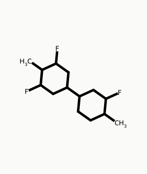 CC1CCC(C2CC(F)C(C)C(F)C2)CC1F